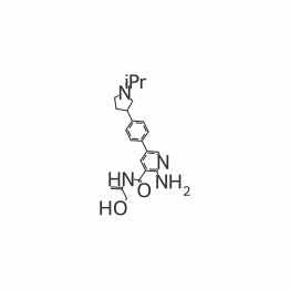 C=C(CO)NC(=O)c1cc(-c2ccc(C3CCN(C(C)C)C3)cc2)cnc1N